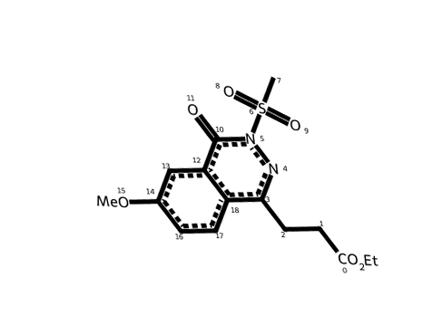 CCOC(=O)CCc1nn(S(C)(=O)=O)c(=O)c2cc(OC)ccc12